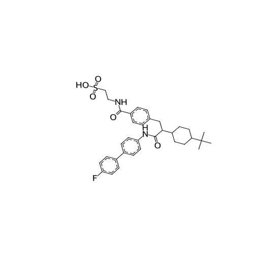 CC(C)(C)C1CCC(C(Cc2ccc(C(=O)NCCS(=O)(=O)O)cc2)C(=O)Nc2ccc(-c3ccc(F)cc3)cc2)CC1